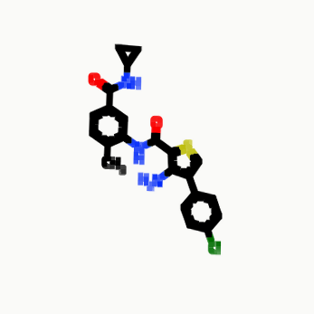 Cc1ccc(C(=O)NC2CC2)cc1NC(=O)c1scc(-c2ccc(Cl)cc2)c1N